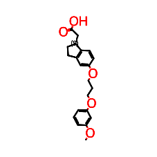 COc1cccc(OCCCOc2ccc3c(c2)CC[C@H]3CC(=O)O)c1